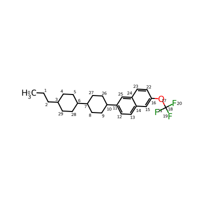 CCCC1CCC(C2CCC(c3ccc4cc(OC(F)(F)F)ccc4c3)CC2)CC1